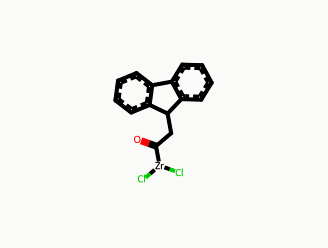 O=[C](CC1c2ccccc2-c2ccccc21)[Zr]([Cl])[Cl]